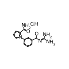 Cl.NC(=O)c1cccn1-c1cccc(C(=O)N=C(N)N)c1